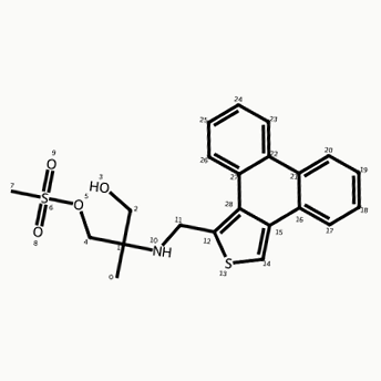 CC(CO)(COS(C)(=O)=O)NCc1scc2c3ccccc3c3ccccc3c12